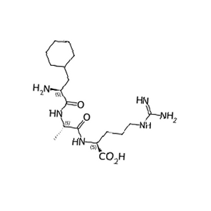 C[C@H](NC(=O)[C@@H](N)CC1CCCCC1)C(=O)N[C@@H](CCCNC(=N)N)C(=O)O